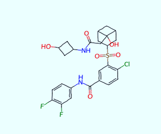 O=C(CC1(O)C2CC1CC(S(=O)(=O)c1cc(C(=O)Nc3ccc(F)c(F)c3)ccc1Cl)C2)NC1CC(O)C1